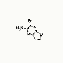 Nc1nc2c(cc1Br)OCC2